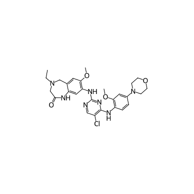 CCN1CC(=O)Nc2cc(Nc3ncc(Cl)c(Nc4ccc(N5CCOCC5)cc4OC)n3)c(OC)cc2C1